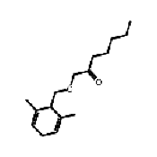 CCCCCC(=O)COCC1C(C)=CCC=C1C